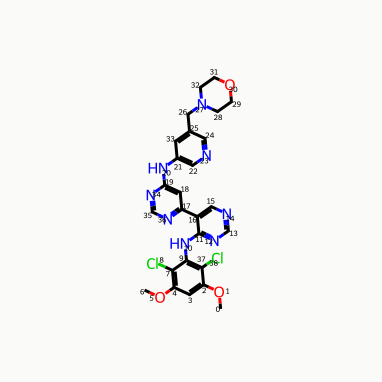 COc1cc(OC)c(Cl)c(Nc2ncncc2-c2cc(Nc3cncc(CN4CCOCC4)c3)ncn2)c1Cl